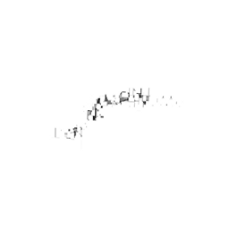 COc1cc2c(cc1OCCCCCOc1cc3c(cc1OC)C(=O)N1C[C@@H](OC)C[C@H]1CN3)NC[C@@H]1CC(c3ccc(NC(=O)OC(C)(C)C)cc3)=CN1C2=O